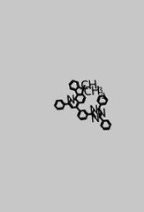 CC1(C)c2ccccc2-c2c1ccc1c(-c3cccc(-c4nc(-c5ccccc5)nc(-c5ccccc5)n4)c3)cc(-c3ccccc3)nc21